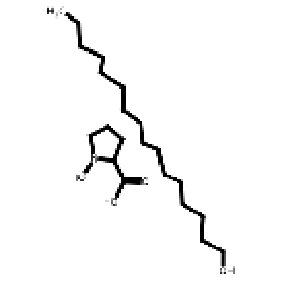 CCCCCCCCCCCCCCCCO.O=C(O)C1CCCN1O